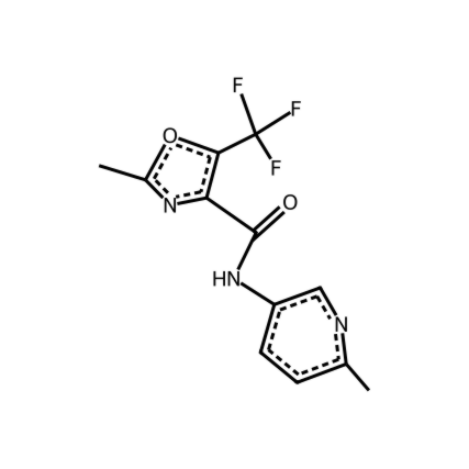 Cc1ccc(NC(=O)c2nc(C)oc2C(F)(F)F)cn1